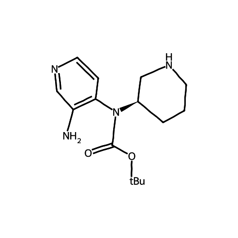 CC(C)(C)OC(=O)N(c1ccncc1N)[C@@H]1CCCNC1